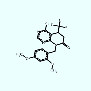 COc1ccc(CN2C(=O)CC(C(F)(F)F)c3c(Cl)ncnc32)c(OC)c1